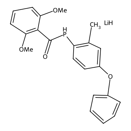 COc1cccc(OC)c1C(=O)Pc1ccc(Oc2ccccc2)cc1C.[LiH]